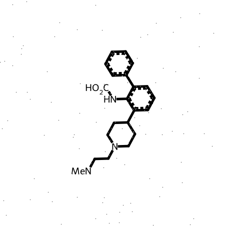 CNCCN1CCC(c2cccc(-c3ccccc3)c2NC(=O)O)CC1